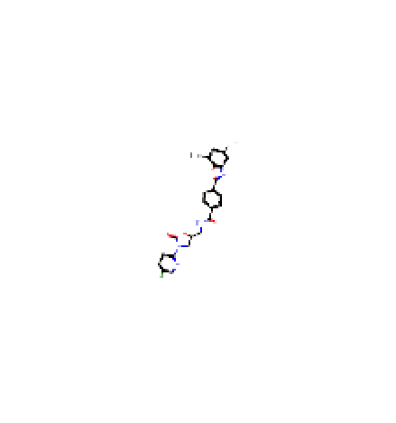 CC(C)c1cc(C#N)cc2nc(-c3ccc(C(=O)NCC4CN(c5ccc(Cl)cn5)C(=O)O4)cc3)oc12